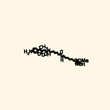 COP(=O)(O)OCCCCCCNC(=O)CCCCCNC(=O)Cc1c(C)c2ccc(N)cc2oc1=O